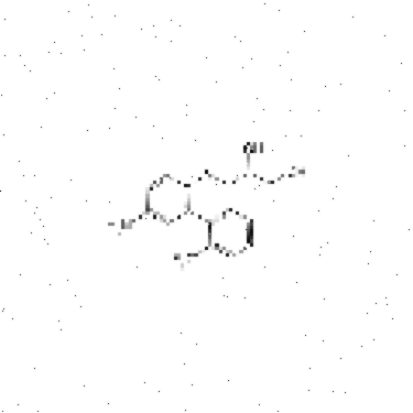 Nc1ccc(NCC(O)CO)c(-c2ccccc2C(F)(F)F)c1